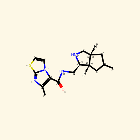 Cc1nc2sccn2c1C(=O)NC[C@H]1NC[C@@H]2CC(C)C[C@@H]21